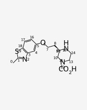 Cc1nc2cc(OCC[C@@H]3CN(C(=O)O)CCN3)ccc2s1